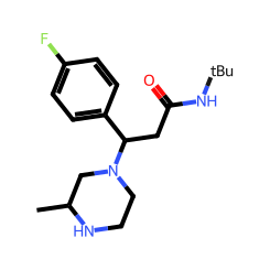 CC1CN(C(CC(=O)NC(C)(C)C)c2ccc(F)cc2)CCN1